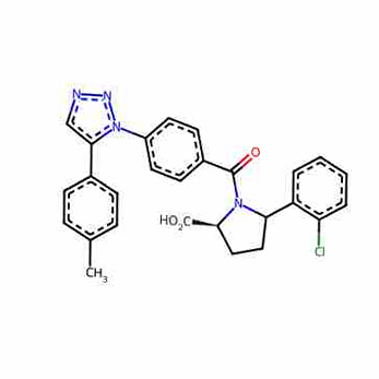 Cc1ccc(-c2cnnn2-c2ccc(C(=O)N3C(c4ccccc4Cl)CC[C@H]3C(=O)O)cc2)cc1